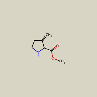 C=C1CCNC1C(=O)OC